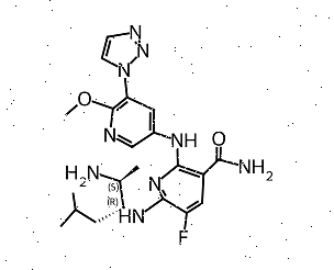 COc1ncc(Nc2nc(N[C@H](CC(C)C)[C@H](C)N)c(F)cc2C(N)=O)cc1-n1ccnn1